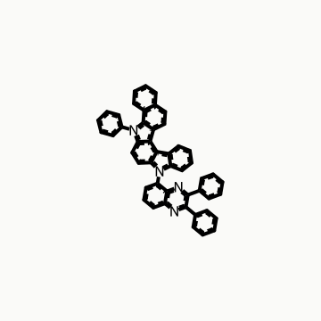 c1ccc(-c2nc3cccc(-n4c5ccccc5c5c6c7ccc8ccccc8c7n(-c7ccccc7)c6ccc54)c3nc2-c2ccccc2)cc1